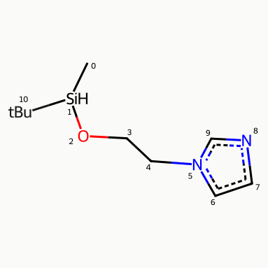 C[SiH](OCCn1ccnc1)C(C)(C)C